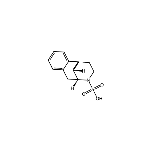 O=S(=O)(O)N1CC[C@]23CCCC[C@H]2[C@H]1Cc1ccccc13